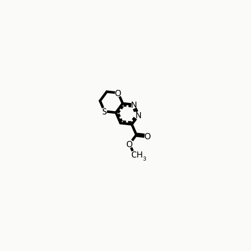 COC(=O)c1cc2c(nn1)OCCS2